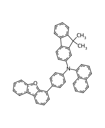 CC1(C)c2ccccc2-c2ccc(N(c3ccc(-c4cccc5c4oc4ccccc45)cc3)c3cccc4ccccc34)cc21